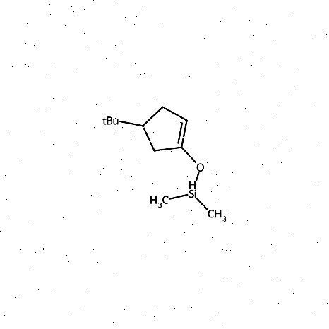 C[SiH](C)OC1=CCC(C(C)(C)C)C1